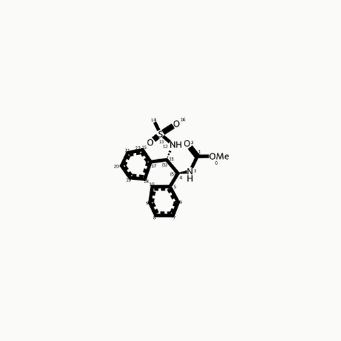 COC(=O)N[C@@H](c1ccccc1)[C@@H](NS(C)(=O)=O)c1ccccc1